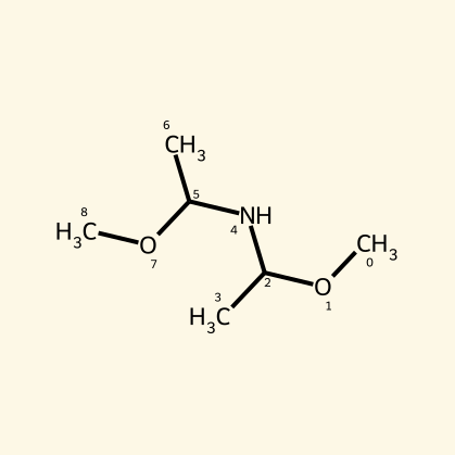 COC(C)NC(C)OC